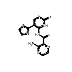 Nc1nccnc1C(=O)Nc1[nH]c(=O)ncc1-c1nccs1